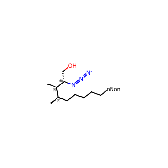 CCCCCCCCCCCCCC[C@@H](C)[C@@H](C)[C@H](CO)N=[N+]=[N-]